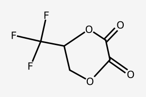 O=C1OCC(C(F)(F)F)OC1=O